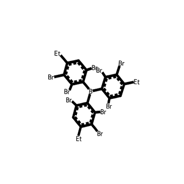 CCc1cc(Br)c(B(c2c(Br)cc(CC)c(Br)c2Br)c2c(Br)cc(CC)c(Br)c2Br)c(Br)c1Br